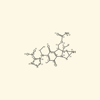 CCN(C1=C(C)C(=O)C2=C(C1=O)C(COC(N)=O)C1(OC)C3NC3CN21)n1ccnc1[N+](=O)[O-]